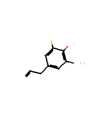 C=CCc1cc(F)c(O)c(OC)c1